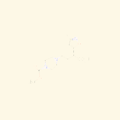 Cc1cc(C(CCN2CCN(C(=O)OC(C)(C)C)CC2)C(=O)O)on1